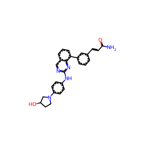 NC(=O)C=Cc1cccc(-c2cccc3cnc(Nc4ccc(N5CCC(O)C5)cc4)nc23)c1